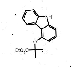 CCOC(=O)C(C)(C)Oc1cccc2[nH]c3ccccc3c12